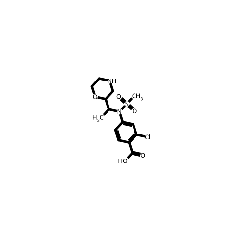 CC(C1CNCCO1)N(c1ccc(C(=O)O)c(Cl)c1)S(C)(=O)=O